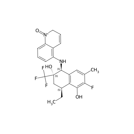 CC[C@H]1C[C@@](O)(C(F)(F)F)[C@@H](Nc2cccc3c2C=CC[N+]3=O)c2cc(C)c(F)c(O)c21